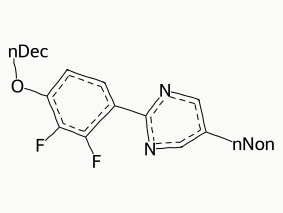 CCCCCCCCCCOc1ccc(-c2ncc(CCCCCCCCC)cn2)c(F)c1F